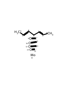 CC=CCC=CC.[C]=O.[C]=O.[C]=O.[C]=O.[Mo]